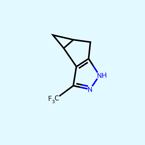 FC(F)(F)c1n[nH]c2c1C1CC1C2